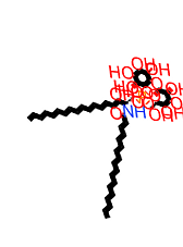 CCCCCCCCCCCCCCCCCC(=O)N[C@@H](COP(=O)(O)O[C@H]1C(O)C(O)C(O)[C@@H](O)C1O[C@H]1O[C@H](CO)[C@@H](O)C(O)C1O)[C@H](O)CCCCCCCCCCCCCCC